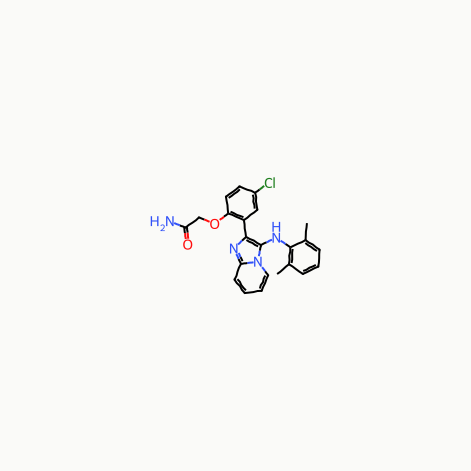 Cc1cccc(C)c1Nc1c(-c2cc(Cl)ccc2OCC(N)=O)nc2ccccn12